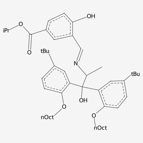 CCCCCCCCOc1ccc(C(C)(C)C)cc1C(O)(c1cc(C(C)(C)C)ccc1OCCCCCCCC)C(C)N=Cc1cc(C(=O)OC(C)C)ccc1O